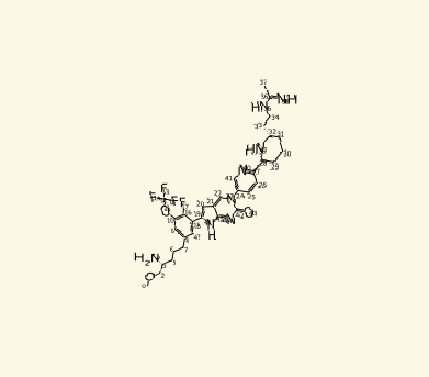 COC[C@H](N)CCCc1cc(OC(F)(F)F)c(F)c(-c2cc3cn(-c4ccc([C@@H]5CCC[C@@H](CCNC(C)=N)N5)nc4)c(=O)nc3[nH]2)c1